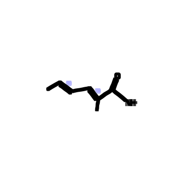 C/C=C/C=C(\C)C([NH])=O